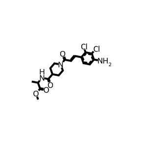 COC(=O)C(C)NC(=O)C1CCN(C(=O)C=Cc2ccc(N)c(Cl)c2Cl)CC1